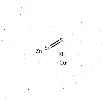 [Cu].[KH].[S]=[Sn].[Zn]